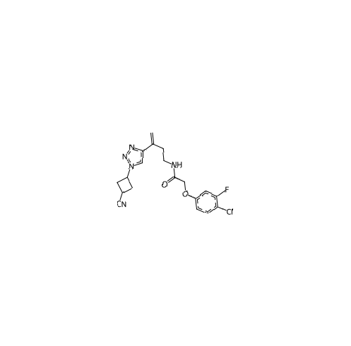 C=C(CCNC(=O)COc1ccc(Cl)c(F)c1)c1cn(C2CC(C#N)C2)nn1